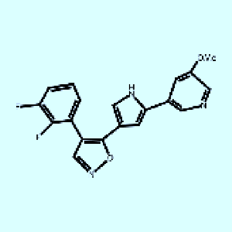 COc1cncc(-c2cc(-c3oncc3-c3cccc(F)c3F)c[nH]2)c1